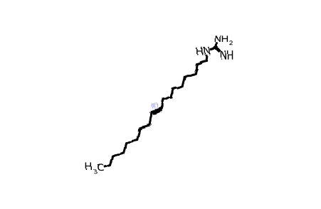 CCCCCCCC/C=C/CCCCCCCCNC(=N)N